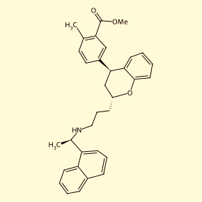 COC(=O)c1cc([C@@H]2C[C@@H](CCCN[C@H](C)c3cccc4ccccc34)Oc3ccccc32)ccc1C